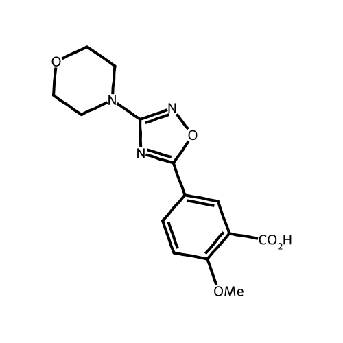 COc1ccc(-c2nc(N3CCOCC3)no2)cc1C(=O)O